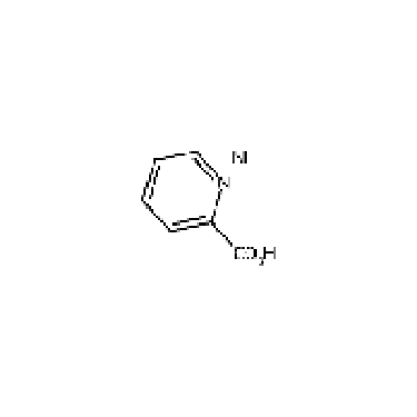 O=C(O)c1ccccn1.[Ni]